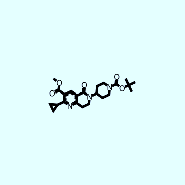 COC(=O)c1cc2c(nc1C1CC1)CCN(C1CCN(C(=O)OC(C)(C)C)CC1)C2=O